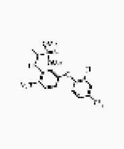 COP(=O)(OC)C(C)Nc1cc(Oc2ccc(C(F)(F)F)cc2Cl)ccc1[N+](=O)[O-]